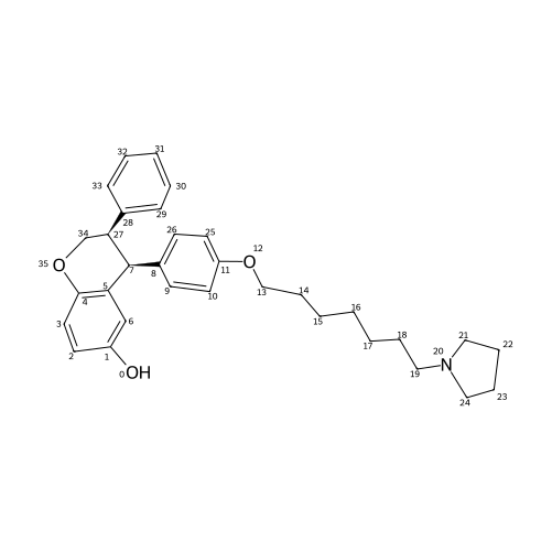 Oc1ccc2c(c1)[C@H](c1ccc(OCCCCCCCN3CCCC3)cc1)[C@H](c1ccccc1)CO2